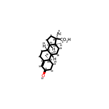 CC(=O)[C@@]1(C(=O)O)CC[C@H]2[C@@H]3CCC4=CC(=O)CC[C@]4(C)[C@H]3CC[C@@]21C